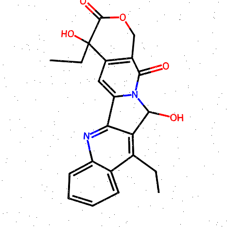 CCc1c2c(nc3ccccc13)-c1cc3c(c(=O)n1C2O)COC(=O)C3(O)CC